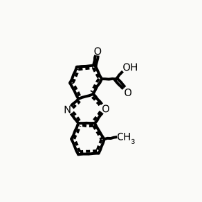 Cc1cccc2nc3ccc(=O)c(C(=O)O)c-3oc12